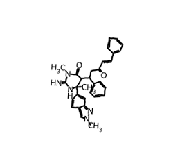 CN1C(=N)NC(C)(c2ccc3cn(C)nc3c2)C(C(CC(=O)/C=C/c2ccccc2)c2ccccc2)C1=O